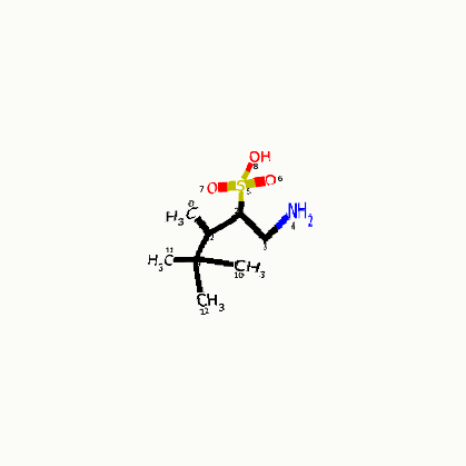 CC(C(CN)S(=O)(=O)O)C(C)(C)C